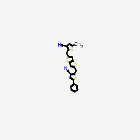 Cc1cc(C#N)c(Cc2cc3sc(Cc4sc(-c5ccccc5)cc4C#N)cc3s2)s1